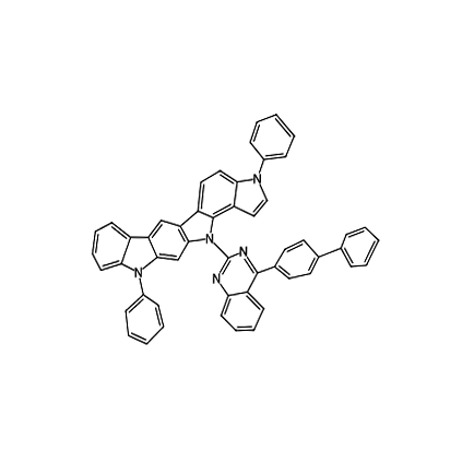 c1ccc(-c2ccc(-c3nc(-n4c5cc6c(cc5c5ccc7c(ccn7-c7ccccc7)c54)c4ccccc4n6-c4ccccc4)nc4ccccc34)cc2)cc1